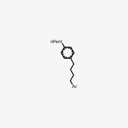 CCCCCc1ccc(CCCCC(C)=O)cc1